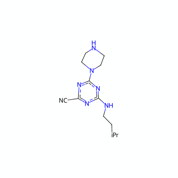 CC(C)CCNc1nc(C#N)nc(N2CCNCC2)n1